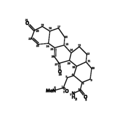 CNC(=O)CC1C(C(N)=O)CCC2CCC3C4CCC5CC(=O)C=CC5C4=CC(=O)C3C21